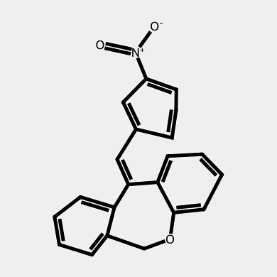 O=[N+]([O-])c1cccc(C=C2c3ccccc3COc3ccccc32)c1